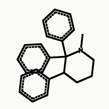 CN1CCCC(c2ccccc2)C1(c1ccccc1)c1ccccc1